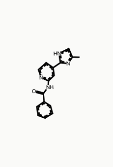 Cc1c[nH]c(-c2ccnc(NC(=O)c3ccccc3)c2)n1